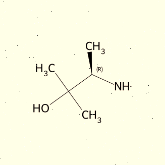 C[C@@H]([NH])C(C)(C)O